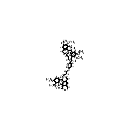 COc1ccc(C2c3c(cc(CO)c(CO)c3OC)CC[N+]2(C)CCCOC(=O)/C=C\C(=O)OCCC[N+]2(C)CCc3cc(OC)c(OC)c(OC)c3C2Cc2cc(CO)c(OC)c(OC)c2)cc1CO